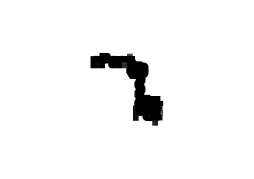 CCCCCC1=COC(CCCCc2cc(F)c(OC(F)F)c(F)c2)CC1